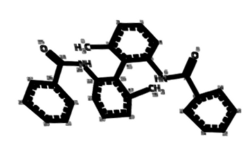 Cc1cccc(NC(=O)c2ccccc2)c1-c1c(C)cccc1NC(=O)c1ccccc1